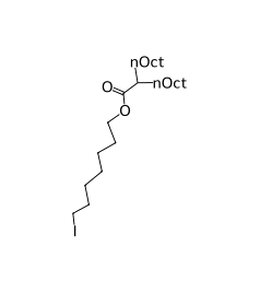 CCCCCCCCC(CCCCCCCC)C(=O)OCCCCCCCI